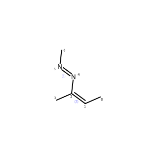 C/C=C(C)\N=N\C